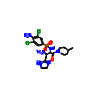 CC1CCN(C(=O)C(NS(=O)(=O)c2cc(Cl)c(N)c(Cl)c2)C(N)c2ncc[nH]2)CC1